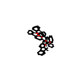 CC1(C)c2ccccc2-c2ccc(N(c3ccc4c(c3)C3(c5ccccc5-4)c4ccccc4-c4ccc(N(c5ccccc5)c5cccc6sc7ccccc7c56)cc43)c3ccccc3-c3ccccc3)cc21